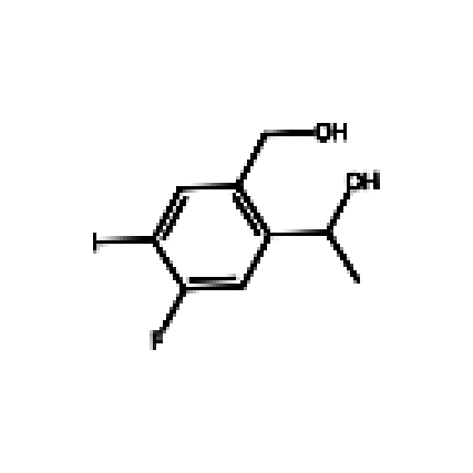 CC(O)c1cc(F)c(I)cc1CO